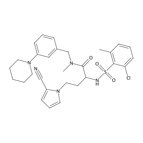 Cc1cccc(Cl)c1S(=O)(=O)NC(CCn1cccc1C#N)C(=O)N(C)Cc1cccc(N2CCCCC2)c1